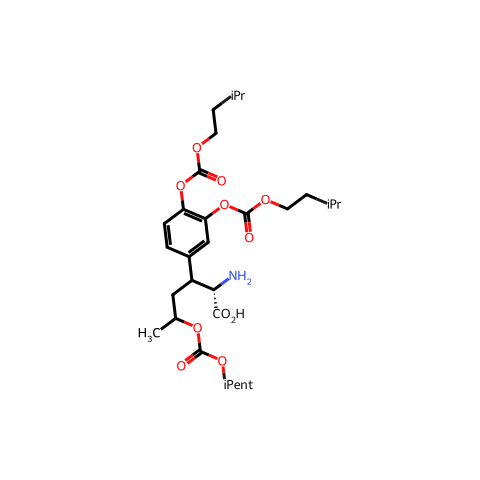 CCCC(C)OC(=O)OC(C)CC(c1ccc(OC(=O)OCCC(C)C)c(OC(=O)OCCC(C)C)c1)[C@H](N)C(=O)O